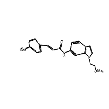 COCCn1ccc2ccc(NC(=O)C=Cc3ccc(C(C)(C)C)cc3)cc21